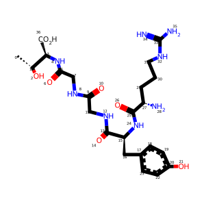 C[C@@H](O)[C@H](NC(=O)CNC(=O)CNC(=O)[C@H](Cc1ccc(O)cc1)NC(=O)[C@@H](N)CCCNC(=N)N)C(=O)O